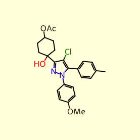 COc1ccc(-n2nc(C3(O)CCC(OC(C)=O)CC3)c(Cl)c2-c2ccc(C)cc2)cc1